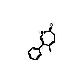 CC1=CCC(=O)NC=C1c1ccccc1